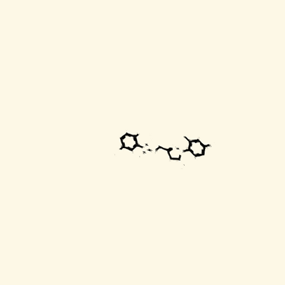 Cc1ccc(C)c(S(=O)(=O)NCC2=NN(c3ccc(Cl)cc3Cl)[C@H](I)C2)c1